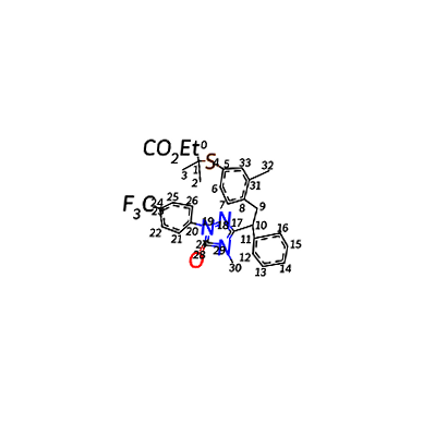 CCOC(=O)C(C)(C)Sc1ccc(CC(c2ccccc2)c2nn(-c3ccc(C(F)(F)F)cc3)c(=O)n2C)c(C)c1